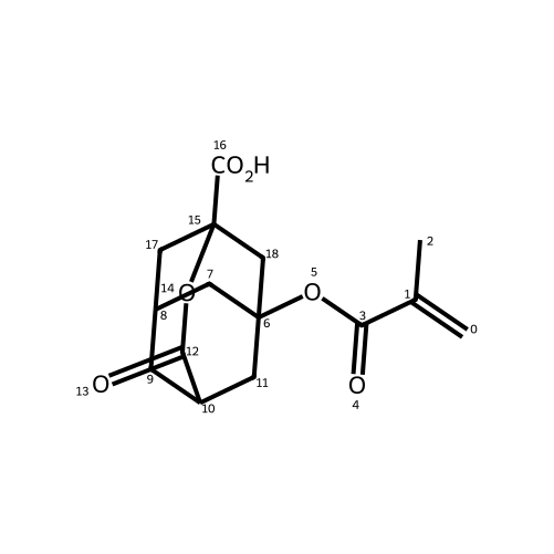 C=C(C)C(=O)OC12CC3CC(C1)C(=O)OC(C(=O)O)(C3)C2